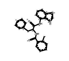 Cc1ccccc1C(=O)NC(Cc1ccccc1)C(=O)Nc1cccc2nc[nH]c12